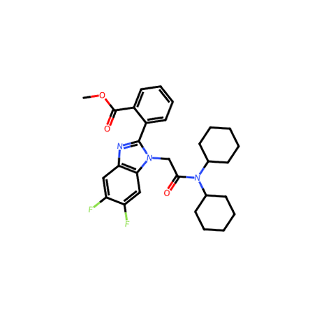 COC(=O)c1ccccc1-c1nc2cc(F)c(F)cc2n1CC(=O)N(C1CCCCC1)C1CCCCC1